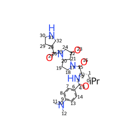 CC(C)C[C@H](NC(=O)c1ccc(N(C)C)cc1)C(=O)N1CCC2C1C(=O)CN2C(=O)C1CCNC1